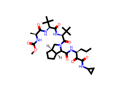 CCC[C@H](NC(=O)C1[C@H]2CCC[C@H]2CN1C(=O)[C@@H](NC(=O)[C@@H](NC(=O)[C@H](C)NC(=O)OC)C(C)(C)C)C(C)(C)C)C(=O)C(=O)NC1CC1